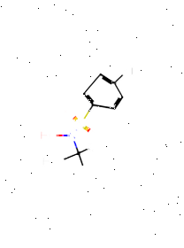 Cc1ccc(S(=O)(=O)N(O)C(C)(C)C)cc1